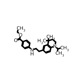 CCOC(=O)c1ccc(NCCc2ccc3c(c2)C(C)(C)CCN3C(C)C)cc1